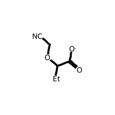 CCC(OCC#N)C([O])=O